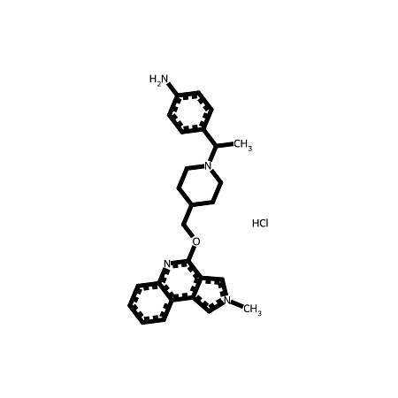 CC(c1ccc(N)cc1)N1CCC(COc2nc3ccccc3c3cn(C)cc23)CC1.Cl